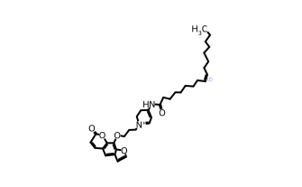 CCCCCCC/C=C\CCCCCCCC(=O)NC1=CC=[N+](CCCOc2c3occc3cc3ccc(=O)oc23)CC1